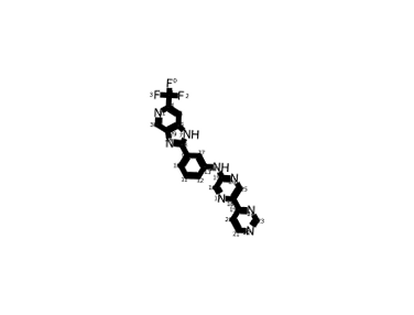 FC(F)(F)c1cc2[nH]c(-c3cccc(Nc4cnc(-c5ccncn5)cn4)c3)nc2cn1